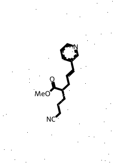 COC(=O)C(C/C=C/c1cccnc1)CCCC#N